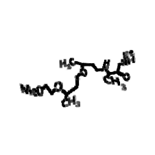 CCNCC(=O)C(C)NCCC(C)OCCC(C)OCCOC